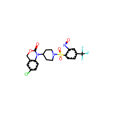 O=Nc1cc(C(F)(F)F)ccc1S(=O)(=O)N1CCC(N2C(=O)OCc3cc(Cl)ccc32)CC1